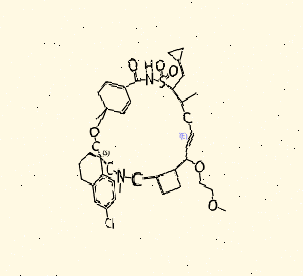 COCCOC1/C=C/CC(C)C(CC2CC2)S(=O)(=O)NC(=O)C2=CCC(C)(C=C2)OC[C@]2(CCCc3cc(Cl)ccc32)CN(C)CC2CCC21